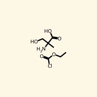 CC(N)(CO)C(=O)O.CCOC(=O)Cl